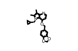 Cc1c(C)n(CC2CC2)c2c(OCc3ccc4c(c3)OCO4)ccnc12